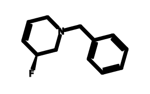 F[C@H]1C=CCN(Cc2ccccc2)C1